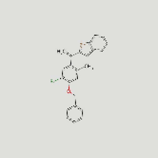 C=C(c1cc2ccccc2s1)c1cc(Br)c(OCc2ccccc2)cc1C